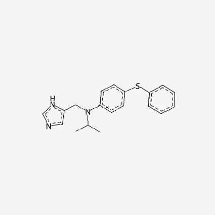 CC(C)N(Cc1cnc[nH]1)c1ccc(Sc2ccccc2)cc1